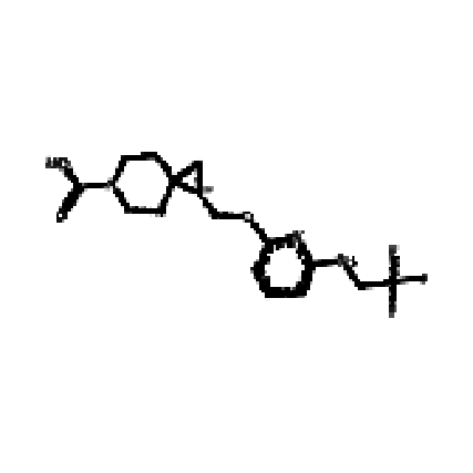 O=C(O)N1CCC2(CC1)C[C@H]2COc1cccc(NCC(F)(F)F)n1